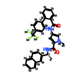 C[C@@H](NC(=O)c1cc(NC(=O)c2ccccc2-c2ccc(C(F)(F)F)cc2)cn1C)c1ccc2ccccc2c1